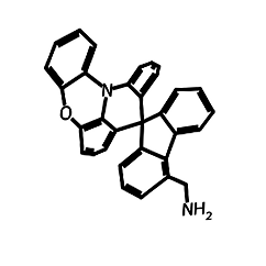 NCc1cccc2c1-c1ccccc1C21c2ccccc2N2c3ccccc3Oc3cccc1c32